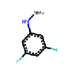 CNNc1cc(F)cc(F)c1